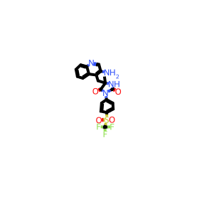 CC1(Cc2c(N)cnc3ccccc23)NC(=O)N(c2ccc(S(=O)(=O)C(F)(F)F)cc2)C1=O